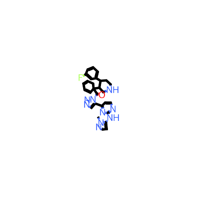 Cn1nccc1Nc1nccc(-c2cnnn2C(=O)C2(C3CNCCC3c3cccc(F)c3)C=CC=CC2)n1